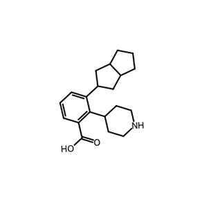 O=C(O)c1cccc(C2CC3CCCC3C2)c1C1CCNCC1